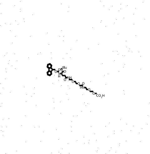 CC(C)(C)OC(=O)C(CCC(=O)NCCOCCOCC(=O)NCCOCCOCC(=O)O)NC(=O)OCC1c2ccccc2-c2ccccc21